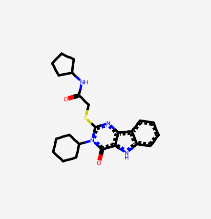 O=C(CSc1nc2c([nH]c3ccccc32)c(=O)n1C1CCCCC1)NC1CCCC1